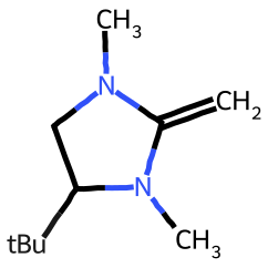 C=C1N(C)CC(C(C)(C)C)N1C